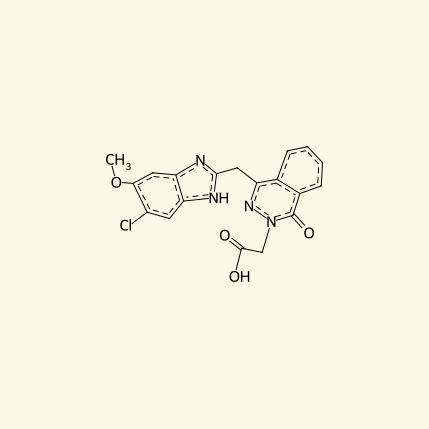 COc1cc2nc(Cc3nn(CC(=O)O)c(=O)c4ccccc34)[nH]c2cc1Cl